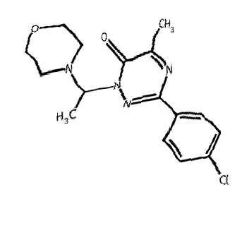 Cc1nc(-c2ccc(Cl)cc2)nn(C(C)N2CCOCC2)c1=O